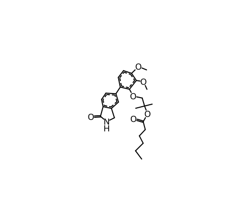 CCCCCC(=O)OC(C)(C)COc1c(-c2ccc3c(c2)CNC3=O)ccc(OC)c1OC